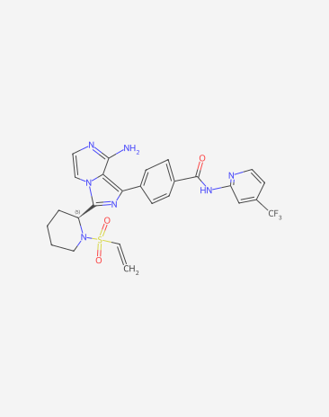 C=CS(=O)(=O)N1CCCC[C@H]1c1nc(-c2ccc(C(=O)Nc3cc(C(F)(F)F)ccn3)cc2)c2c(N)nccn12